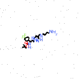 CC(C)(C)OC(=O)N[C@H](c1cn2ncc(CNCCCCN)cc2n1)C1CCC(F)(F)CC1